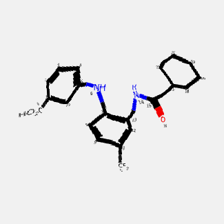 O=C(O)c1cccc(Nc2ccc(C(F)(F)F)cc2NC(=O)C2CCCCC2)c1